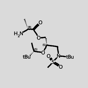 C[C@H](O[C@H](COC(=O)[C@@H](C)N)CN(C(C)(C)C)S(C)(=O)=O)C(C)(C)C